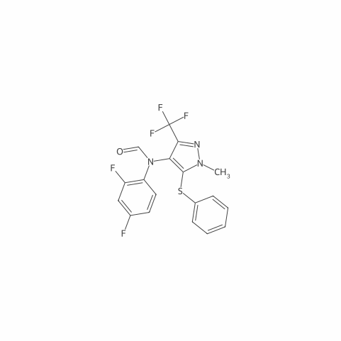 Cn1nc(C(F)(F)F)c(N(C=O)c2ccc(F)cc2F)c1Sc1ccccc1